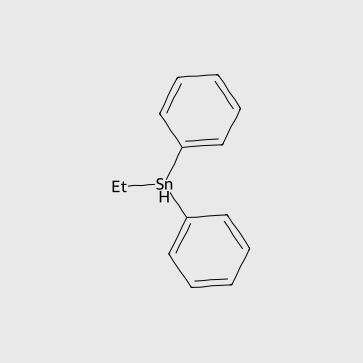 C[CH2][SnH]([c]1ccccc1)[c]1ccccc1